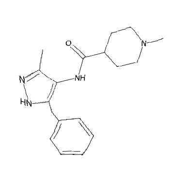 Cc1n[nH]c(-c2ccccc2)c1NC(=O)C1CCN(C)CC1